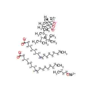 CC(C)[CH2][Al]([CH2]C(C)C)[CH2]C(C)C.CCCCCCCC/C=C\CCCCCCCC(=O)[O-].CCCCCCCC/C=C\CCCCCCCC(=O)[O-].CCCC[O-].CCCC[O-].CCCC[O-].CCCC[O-].[Ni+2].[Ti+4]